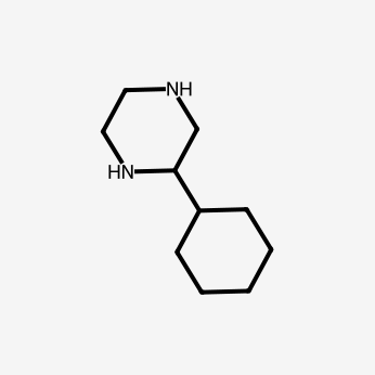 C1CCC(C2CNCCN2)CC1